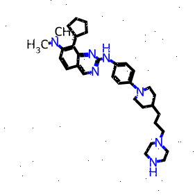 CN(C)c1ccc2cnc(Nc3ccc(N4CCC(CCCN5CCNCC5)CC4)cc3)nc2c1C1CCCC1